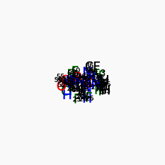 O=C(Cn1nc(C(F)F)c2c1C(F)(F)[C@@H]1C[C@H]21)N[C@@H](Cc1cc(F)cc(F)c1)c1nc(-c2nccc(C(F)(F)F)n2)cc(=O)n1-c1ccc(Cl)c2c(NS(=O)(=O)C3CC3)nn(CC(F)F)c12